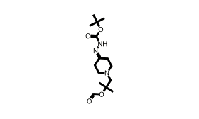 CC(C)(C)OC(=O)NN=C1CCN(CC(C)(C)O[C]=O)CC1